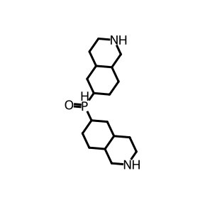 O=[PH](C1CCC2CNCCC2C1)C1CCC2CNCCC2C1